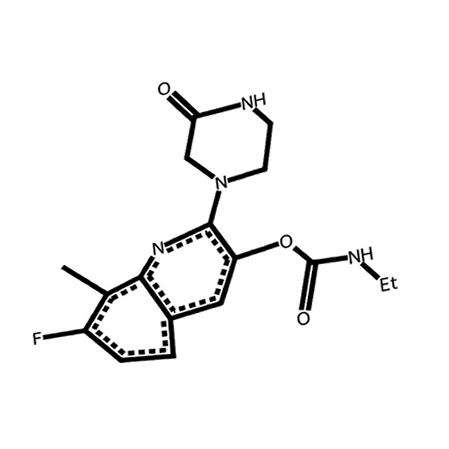 CCNC(=O)Oc1cc2ccc(F)c(C)c2nc1N1CCNC(=O)C1